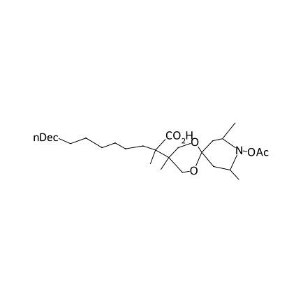 CCCCCCCCCCCCCCCCC(C)(C(=O)O)C1(C)COC2(CC(C)N(OC(C)=O)C(C)C2)OC1